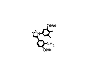 COc1ccc(-c2cnnn2-c2cc(C)c(C)c(OC)c2)cc1N